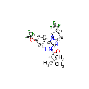 CC(C)(C)CC(=O)Nc1nc2ccc(C(F)(F)F)cn2c1-c1ccc(OC(F)(F)F)cc1